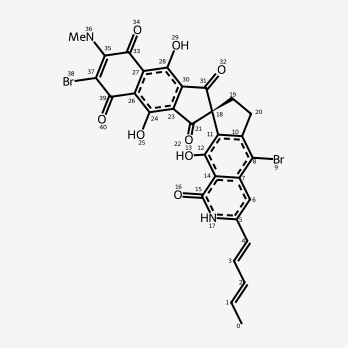 C/C=C/C=C/c1cc2c(Br)c3c(c(O)c2c(=O)[nH]1)[C@]1(CC3)C(=O)c2c(O)c3c(c(O)c2C1=O)C(=O)C(NC)=C(Br)C3=O